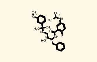 COc1cccc(C(C)(C)NC[C@@H](O)[C@H](Cc2ccccc2)NC(=O)c2cc(NC(C)C)ccc2F)c1